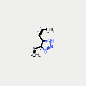 C=CC1N=NNC1/C=C\C